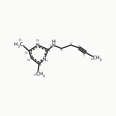 CC#CCCNc1nc(C)cc(C)n1